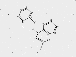 FC(F)=CC(CCc1ccccc1)c1cccnc1